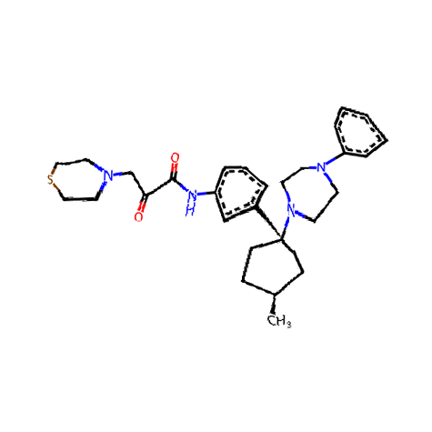 C[C@H]1CC[C@](c2cccc(NC(=O)C(=O)CN3CCSCC3)c2)(N2CCN(c3ccccc3)CC2)CC1